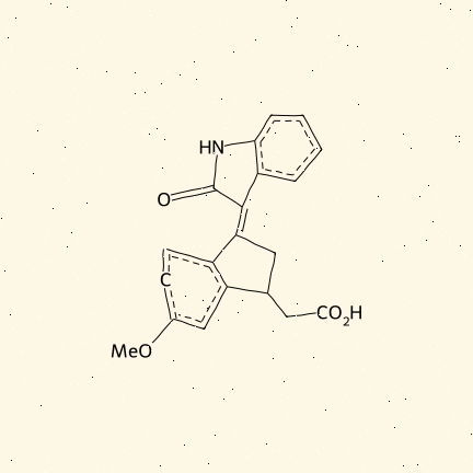 COc1ccc2c(c1)C(CC(=O)O)CC2=C1C(=O)Nc2ccccc21